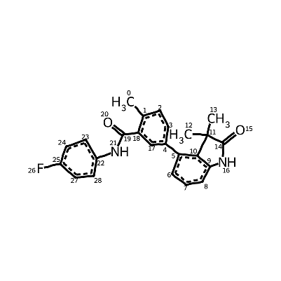 Cc1ccc(-c2cccc3c2C(C)(C)C(=O)N3)cc1C(=O)Nc1ccc(F)cc1